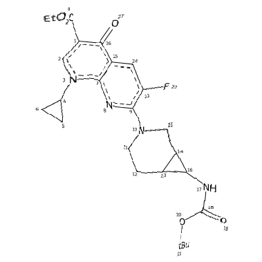 CCOC(=O)c1cn(C2CC2)c2nc(N3CCC4C(C3)C4NC(=O)OC(C)(C)C)c(F)cc2c1=O